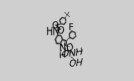 CC(C)(C)c1ccc(S(=O)(=O)Nc2ccc3[nH]c(OC(=O)NCCO)c(-c4cccc(F)c4)c3c2)cc1